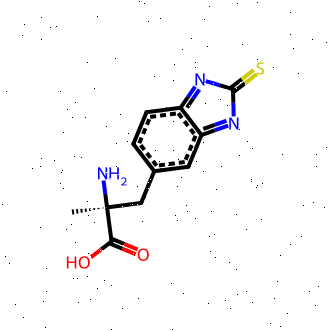 C[C@](N)(Cc1ccc2c(c1)=NC(=S)N=2)C(=O)O